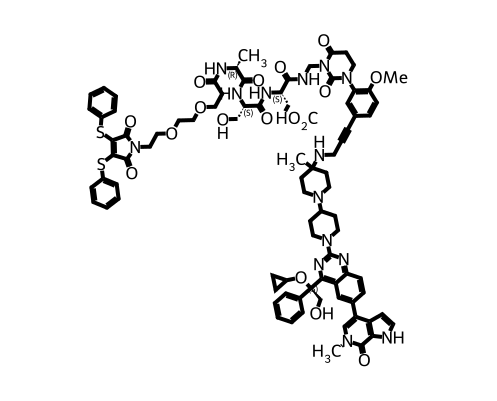 COc1ccc(C#CCNC2(C)CCN(C3CCN(c4nc([C@@](CO)(OC5CC5)c5ccccc5)c5cc(-c6cn(C)c(=O)c7[nH]ccc67)ccc5n4)CC3)CC2)cc1N1CCC(=O)N(CNC(=O)[C@H](CC(=O)O)NC(=O)[C@H](CO)NC(=O)[C@@H](C)NC(=O)CCOCCOCCN2C(=O)C(Sc3ccccc3)=C(Sc3ccccc3)C2=O)C1=O